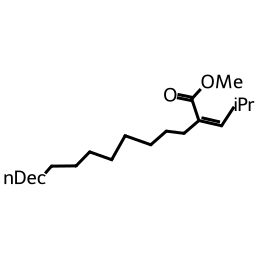 CCCCCCCCCCCCCCCCCCC(=CC(C)C)C(=O)OC